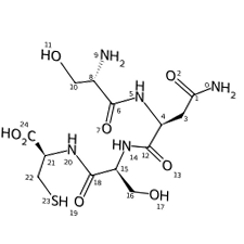 NC(=O)C[C@H](NC(=O)[C@@H](N)CO)C(=O)N[C@@H](CO)C(=O)N[C@@H](CS)C(=O)O